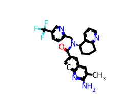 Cc1cc2cc(C(=O)N(Cc3ccc(C(F)(F)F)cn3)[C@H]3CCCc4ncccc43)ccc2nc1N